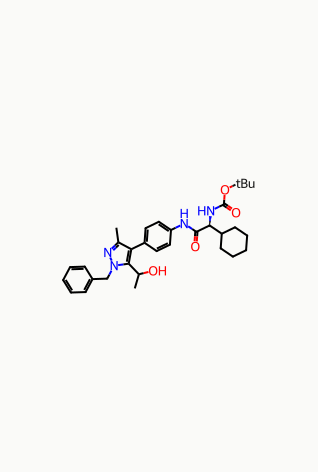 Cc1nn(Cc2ccccc2)c(C(C)O)c1-c1ccc(NC(=O)[C@@H](NC(=O)OC(C)(C)C)C2CCCCC2)cc1